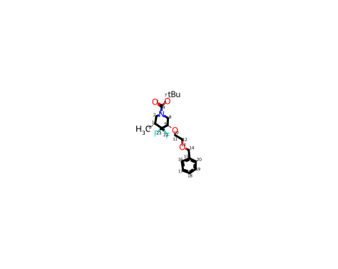 C[C@@H]1CN(C(=O)OC(C)(C)C)C[C@H](OCCOCc2ccccc2)C1(F)F